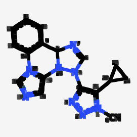 N#Cn1nnc(N2C=NC3c4ccccc4-n4cncc4N32)c1C1CC1